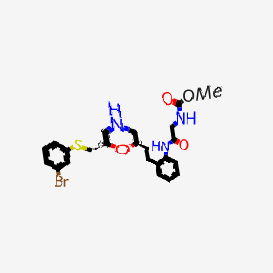 COC(=O)NCC(=O)Nc1ccccc1CC[C@@H]1CNC[C@@H](CSc2cccc(Br)c2)O1